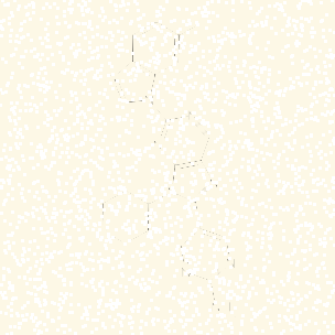 Nc1ncc(-c2nc3cnc(-n4cnc5ccc(F)cc54)nc3n2C2CCOCC2)cn1